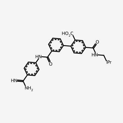 CC(C)CNC(=O)c1ccc(-c2cccc(C(=O)Nc3ccc(C(=N)N)cc3)c2)c(C(=O)O)c1